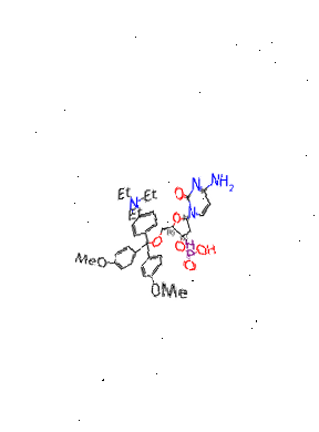 CCN(CC)CC.COc1ccc(C(OC[C@H]2O[C@@H](n3ccc(N)nc3=O)C[C@@H]2O[PH](=O)O)(c2ccccc2)c2ccc(OC)cc2)cc1